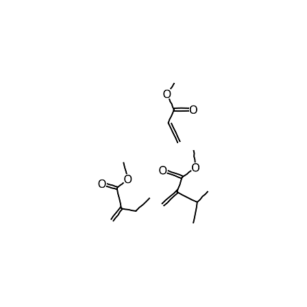 C=C(C(=O)OC)C(C)C.C=C(CC)C(=O)OC.C=CC(=O)OC